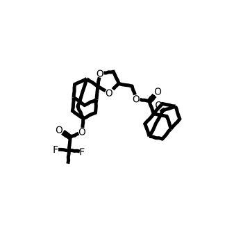 CC(F)(F)C(=O)OC12CC3CC(C1)C1(OCC(COC(=O)C45CC6CC(C4)C(=O)C(C6)C5)O1)C(C3)C2